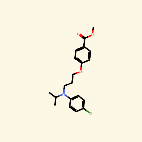 COC(=O)c1ccc(OCCCN(c2ccc(Cl)cc2)C(C)C)cc1